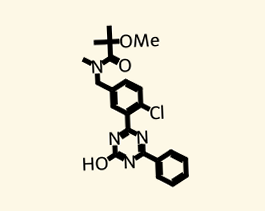 COC(C)(C)C(=O)N(C)Cc1ccc(Cl)c(-c2nc(O)nc(-c3ccccc3)n2)c1